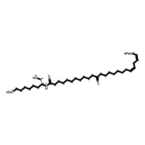 CCCCC/C=C\C/C=C\CCCCCCCC(=O)CCCCCCCCCCC(=O)N[C@@H](CO)CCCCCCCCCCCCCCCC